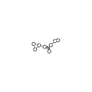 c1ccc(N(c2ccc(-c3ccc4ccccc4c3)cc2)c2ccc(-c3ccc4c5ccccc5c5ccccc5c4c3)cc2)cc1